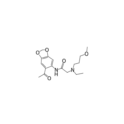 CCN(CCCOC)CC(=O)Nc1cc2c(cc1C(C)=O)OCO2